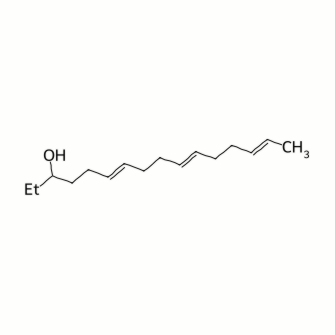 CC=CCCC=CCCC=CCCC(O)CC